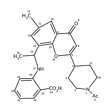 CC(=O)N1CCC(c2cc(=O)c3cc(C)cc(C(C)Nc4ccccc4C(=O)O)c3o2)CC1